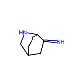 N=C1CC2CCC1NC2